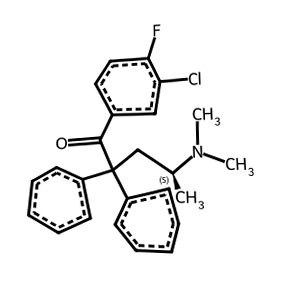 C[C@@H](CC(C(=O)c1ccc(F)c(Cl)c1)(c1ccccc1)c1ccccc1)N(C)C